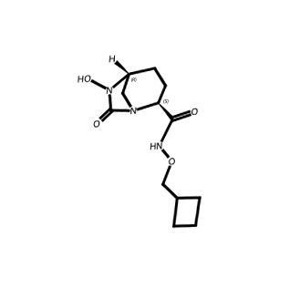 O=C(NOCC1CCC1)[C@@H]1CC[C@@H]2CN1C(=O)N2O